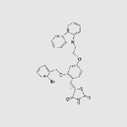 O=C1NC(=S)S/C1=C\c1ccc(OCCn2c3ccccc3c3ccccc32)cc1OCc1ccccc1Br